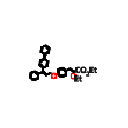 CCOC(=O)C(Cc1ccc(OC/C=C(/c2ccccc2)c2ccc(-c3ccccc3)cc2)cc1)OCC